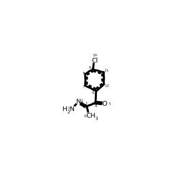 CC(=NN)C(=O)c1ccc(Cl)cc1